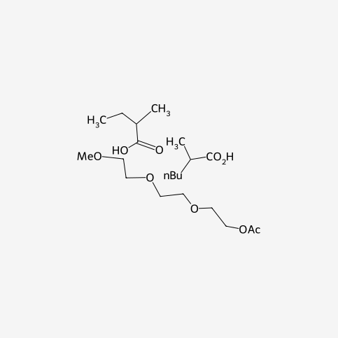 CCC(C)C(=O)O.CCCCC(C)C(=O)O.COCCOCCOCCOC(C)=O